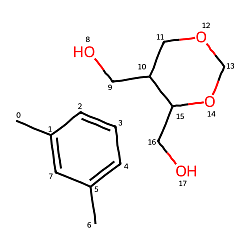 Cc1cccc(C)c1.OCC1COCOC1CO